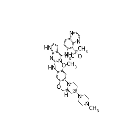 COc1cc2c(cc1Nc1nc(Nc3ccc4nccnc4c3P(C)(C)=O)c3cc[nH]c3n1)OC[C@H]1C[C@@H](N3CCN(C)CC3)CCN21